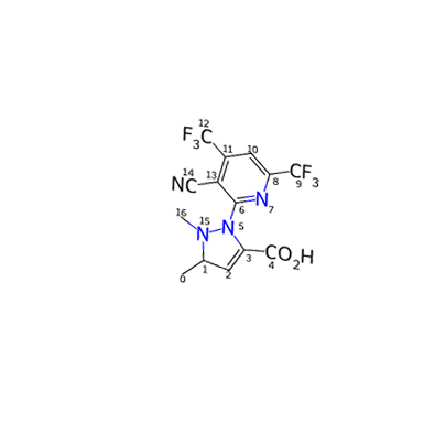 CC1C=C(C(=O)O)N(c2nc(C(F)(F)F)cc(C(F)(F)F)c2C#N)N1C